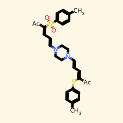 CC(=O)C(=CC=CN1CCN(C=CC=C(C(C)=O)S(=O)(=O)c2ccc(C)cc2)CC1)Sc1ccc(C)cc1